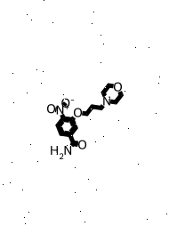 NC(=O)c1ccc([N+](=O)[O-])c(OCCCN2CCOCC2)c1